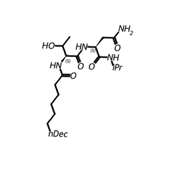 CCCCCCCCCCCCCCCC(=O)N[C@H](C(=O)N[C@@H](CC(N)=O)C(=O)NC(C)C)C(C)O